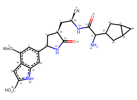 COc1cc(C2C[C@@H](C[C@@H](C#N)NC(=O)C(N)C3CC4CC4C3)C(=O)N2)cc2[nH]c(C(=O)O)cc12